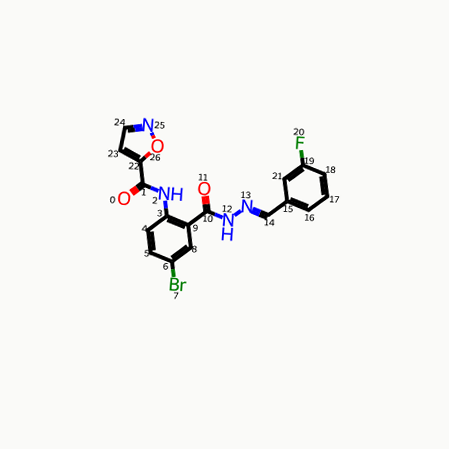 O=C(Nc1ccc(Br)cc1C(=O)NN=Cc1cccc(F)c1)c1ccno1